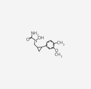 COc1cc(C2CC2CN(O)C(N)=O)ccc1C